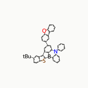 CC(C)(C)c1ccc2sc3c(c2c1)-c1cc(-c2ccc4oc5ccccc5c4c2)cc2c1B3c1ccccc1N2c1ccccc1